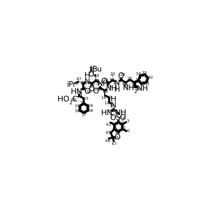 Cc1c(C)c(S(=O)(=O)NC(=N)NCCC[C@H](NC(=O)[C@H](C)NC(=O)[C@@H](N)Cc2c[nH]c3ccccc23)C(=O)N[C@@H](COC(C)(C)C)C(=O)N[C@@H](CC(C)C)C(=O)N[C@@H](Cc2ccccc2)C(=O)O)c(C)c2c1OC(C)(C)C2